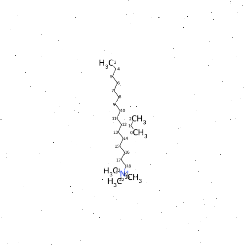 CCC.CCCCCCCCCCCCCCCC[N+](C)(C)C